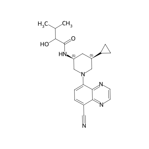 CC(C)C(O)C(=O)N[C@H]1C[C@@H](C2CC2)CN(c2ccc(C#N)c3nccnc23)C1